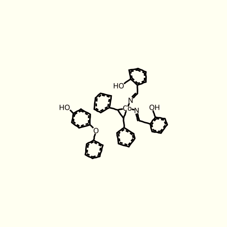 Oc1ccc(Oc2ccccc2)cc1.Oc1ccccc1C=[N][Co]1([N]=Cc2ccccc2O)[CH](c2ccccc2)[CH]1c1ccccc1